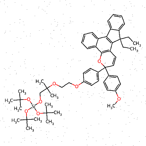 CCC1(CC)c2ccccc2-c2c1c1c(c3ccccc23)OC(c2ccc(OC)cc2)(c2ccc(OCCOC(C)(C)CO[Si](OC(C)(C)C)(OC(C)(C)C)OC(C)(C)C)cc2)C=C1